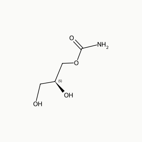 NC(=O)OC[C@@H](O)CO